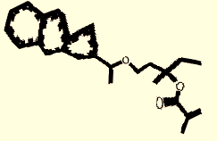 C=C(C)C(=O)OC(C)(CC)CCOC(C)c1ccc2cc3ccccc3cc2c1